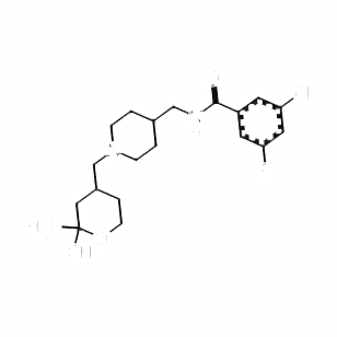 CC1(C)CC(CN2CCC(CNC(=O)c3cc(F)cc(Cl)c3)CC2)CCO1